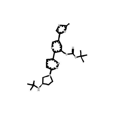 Cc1ncc(-c2cnc(-c3ccc(N4CC[C@@H](NC(C)(C)C)C4)nn3)c(OC(=O)OC(C)(C)C)c2)o1